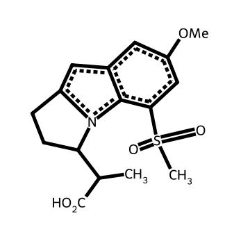 COc1cc(S(C)(=O)=O)c2c(c1)cc1n2C(C(C)C(=O)O)CC1